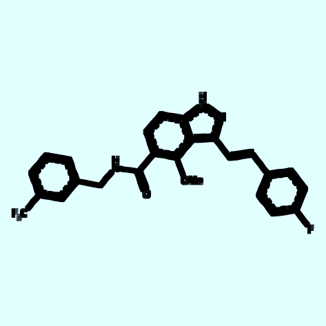 COc1c(C(=O)NCc2cccc(C(F)(F)F)c2)ccc2[nH]nc(/C=C/c3ccc(F)cc3)c12